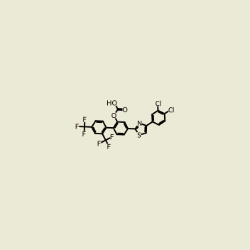 O=C(O)Oc1cc(-c2nc(-c3ccc(Cl)c(Cl)c3)cs2)ccc1-c1ccc(C(F)(F)F)cc1C(F)(F)F